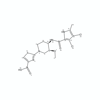 CO[C@H]1CN(c2nc(C(=O)O)cs2)CC[C@H]1NC(=O)c1[nH]c(C)c(Cl)c1Cl